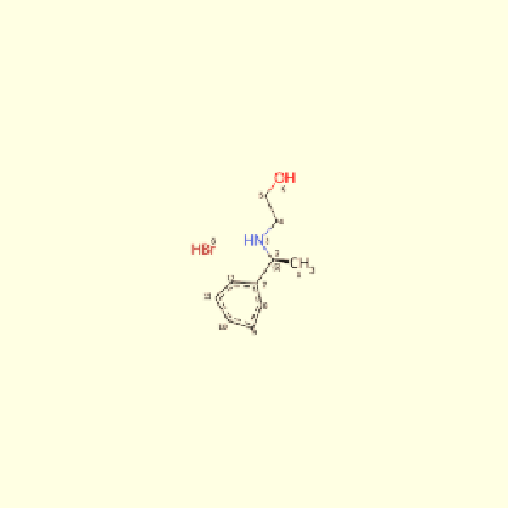 Br.C[C@H](NCCO)c1ccccc1